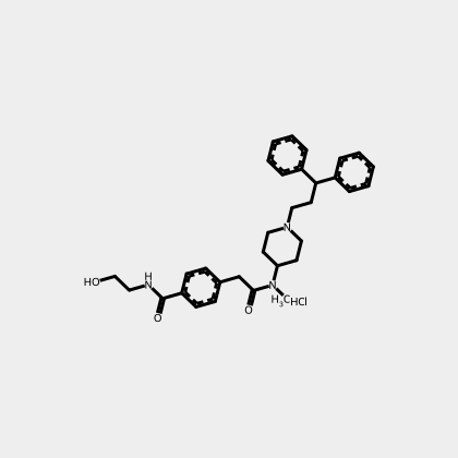 CN(C(=O)Cc1ccc(C(=O)NCCO)cc1)C1CCN(CCC(c2ccccc2)c2ccccc2)CC1.Cl